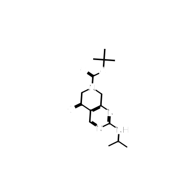 CC(C)Nc1ncc2c(n1)CN(C(=O)OC(C)(C)C)CC2=O